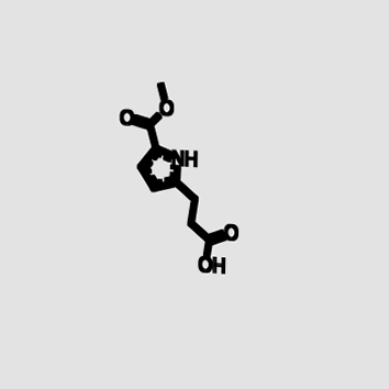 COC(=O)c1ccc(CCC(=O)O)[nH]1